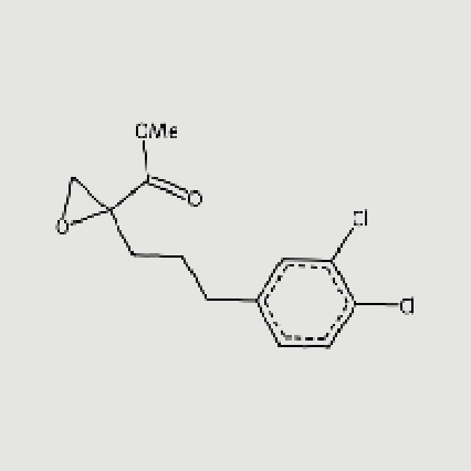 COC(=O)C1(CCCc2ccc(Cl)c(Cl)c2)CO1